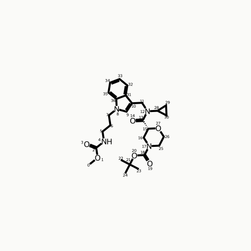 COC(=O)NCCCn1cc(CN(C(=O)[C@H]2CN(C(=O)OC(C)(C)C)CCO2)C2CC2)c2ccccc21